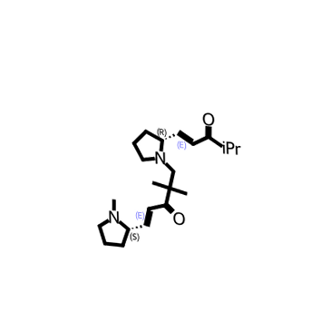 CC(C)C(=O)/C=C/[C@H]1CCCN1CC(C)(C)C(=O)/C=C/[C@@H]1CCCN1C